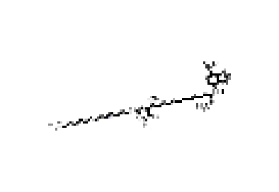 CCCCCCCCC/C=C/CCCOC(=O)C[C@H](C(N)=O)[C@H](O)CCCCCCCCCCC(CC)Nc1ccc([N+](=O)[O-])c2nonc12